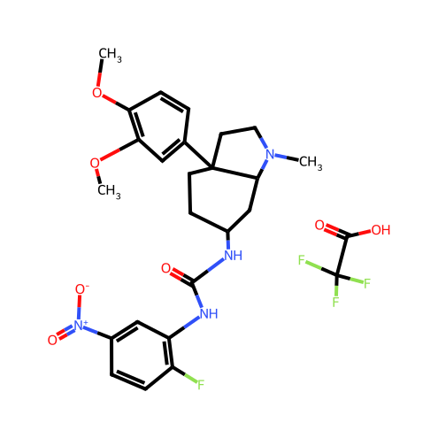 COc1ccc(C23CCC(NC(=O)Nc4cc([N+](=O)[O-])ccc4F)CC2N(C)CC3)cc1OC.O=C(O)C(F)(F)F